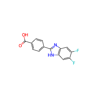 O=C(O)c1ccc(-c2nc3cc(F)c(F)cc3[nH]2)cc1